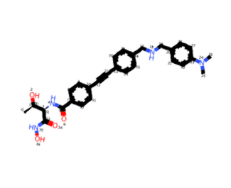 C[C@@H](O)[C@H](NC(=O)c1ccc(C#Cc2ccc(CNCc3ccc(N(C)C)cc3)cc2)cc1)C(=O)NO